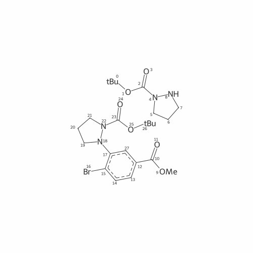 CC(C)(C)OC(=O)N1CCCN1.COC(=O)c1ccc(Br)c(N2CCCN2C(=O)OC(C)(C)C)c1